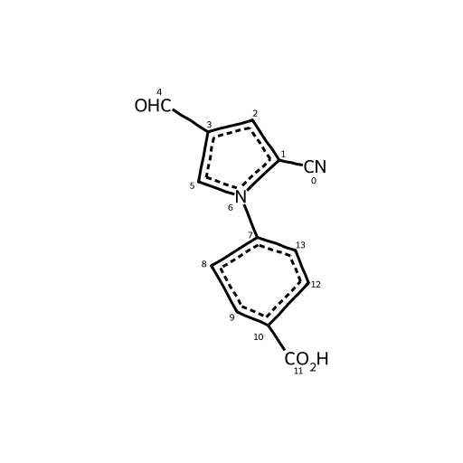 N#Cc1cc(C=O)cn1-c1ccc(C(=O)O)cc1